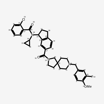 COc1ccc(CN2CCC3(CC2)CCN(C(=O)c2ccc4c(c2)C(N(C(=O)c2ccccc2Cl)C2CC2)CC4)C3)cc1F